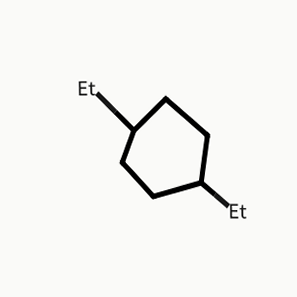 CCC1CCC(CC)CC1